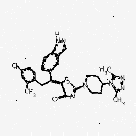 Cc1nnc(C)n1C1CCN(C2=NC(=O)C(=C(Cc3ccc(Cl)cc3C(F)(F)F)c3ccc4[nH]ncc4c3)S2)CC1